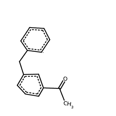 CC(=O)c1cccc(Cc2[c]cccc2)c1